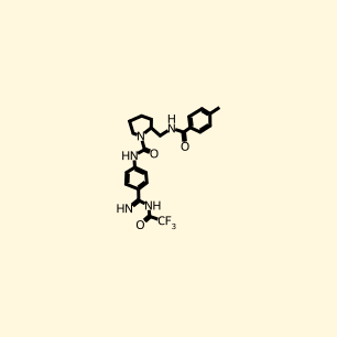 Cc1ccc(C(=O)NCC2CCCCN2C(=O)Nc2ccc(C(=N)NC(=O)C(F)(F)F)cc2)cc1